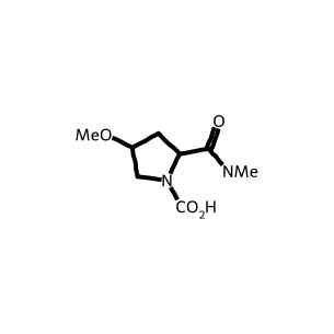 CNC(=O)C1CC(OC)CN1C(=O)O